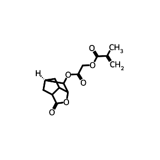 C=C(C)C(=O)OCC(=O)OC1C2OC(=O)C3C[C@H]1CC32